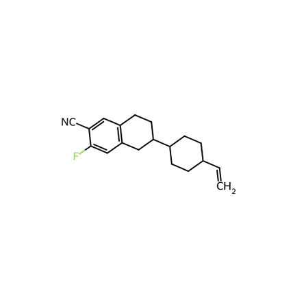 C=CC1CCC(C2CCc3cc(C#N)c(F)cc3C2)CC1